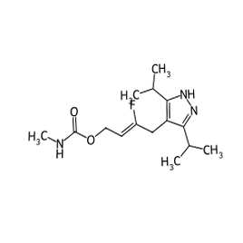 CNC(=O)OC/C=C(\F)Cc1c(C(C)C)n[nH]c1C(C)C